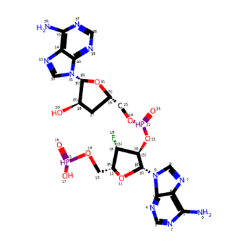 Nc1ncnc2c1ncn2[C@@H]1O[C@H](CO[PH](=O)O)[C@H](F)[C@H]1O[PH](=O)OC[C@@H]1C[C@@H](O)[C@H](n2cnc3c(N)ncnc32)O1